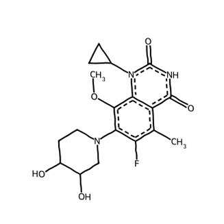 COc1c(N2CCC(O)C(O)C2)c(F)c(C)c2c(=O)[nH]c(=O)n(C3CC3)c12